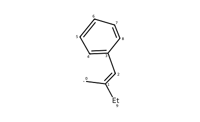 [CH2]C(=Cc1ccccc1)CC